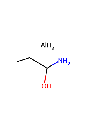 CCC(N)O.[AlH3]